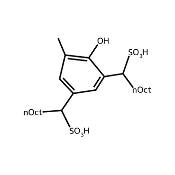 CCCCCCCCC(c1cc(C)c(O)c(C(CCCCCCCC)S(=O)(=O)O)c1)S(=O)(=O)O